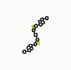 c1ccc(-c2ccc3ccc4c(-c5ccc6sc7ccc(-c8ccc(-c9ccc%10sc%11ccc(-c%12ccc%13ccc%14c(-c%15ccccc%15)ccc%15ccc%12c%13c%15%14)cc%11c%10c9)cc8)cc7c6c5)ccc5ccc2c3c54)cc1